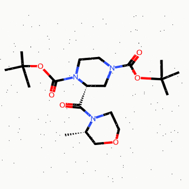 C[C@H]1COCCN1C(=O)[C@H]1CN(C(=O)OC(C)(C)C)CCN1C(=O)OC(C)(C)C